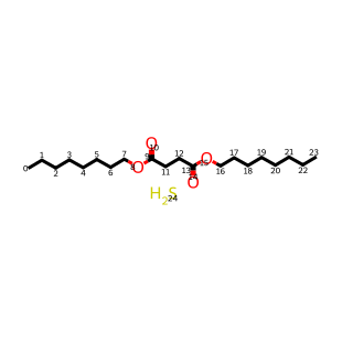 CCCCCCCCOC(=O)CCC(=O)OCCCCCCCC.S